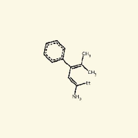 CC/C(N)=C\C(=C(C)C)c1ccccc1